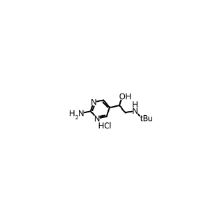 CC(C)(C)NCC(O)c1cnc(N)nc1.Cl